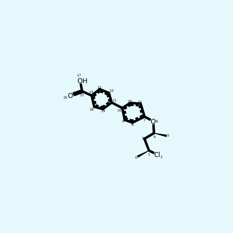 C[C@H](Cl)C[C@H](C)Oc1ccc(-c2ccc(C(=O)O)cc2)cc1